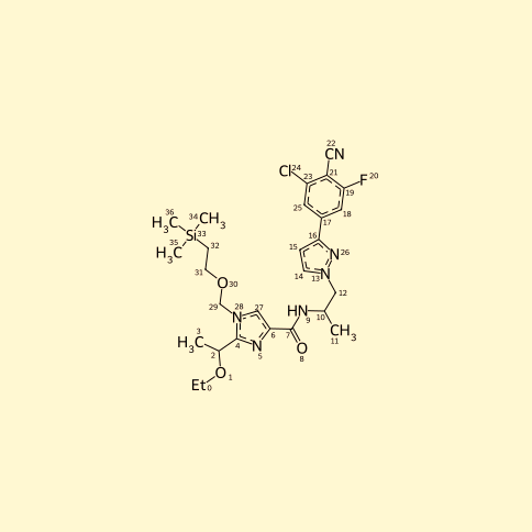 CCOC(C)c1nc(C(=O)NC(C)Cn2ccc(-c3cc(F)c(C#N)c(Cl)c3)n2)cn1COCC[Si](C)(C)C